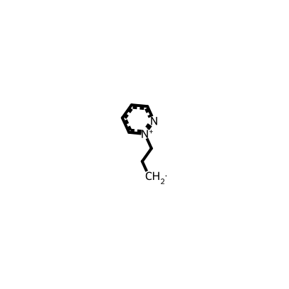 [CH2]CC[n+]1ccccn1